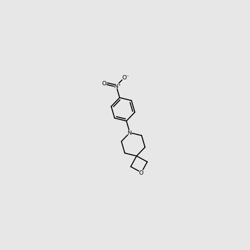 O=[N+]([O-])c1ccc(N2CCC3(CC2)COC3)cc1